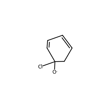 [O]C1(Cl)C=CC=CC1